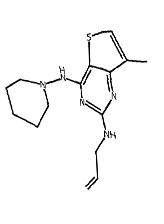 C=CCNc1nc(NN2CCCCC2)c2scc(C)c2n1